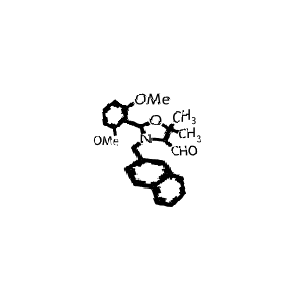 COc1cccc(OC)c1C1OC(C)(C)C(C=O)N1Cc1ccc2ccccc2c1